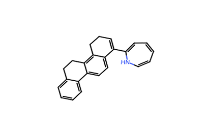 C1=CC=C(C2=CCCc3c2ccc2c3CCc3ccccc3-2)NC=C1